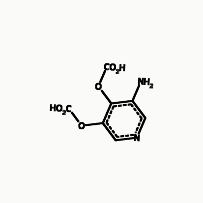 Nc1cncc(OC(=O)O)c1OC(=O)O